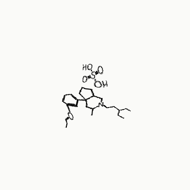 CCOc1cccc(C23CCCC2CN(CCC(CC)CC)C(C)C3)c1.O=S(=O)(O)O